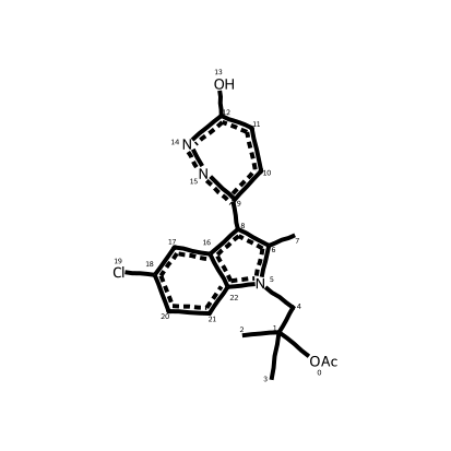 CC(=O)OC(C)(C)Cn1c(C)c(-c2ccc(O)nn2)c2cc(Cl)ccc21